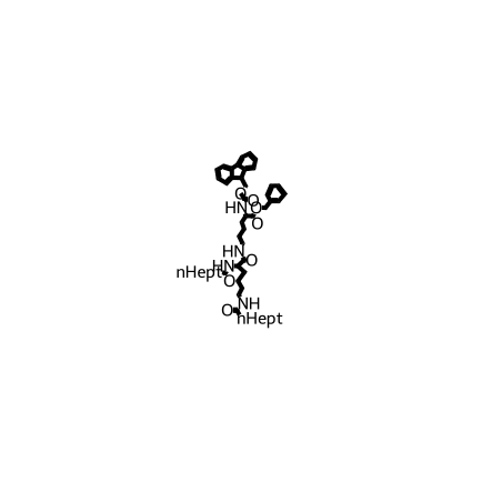 CCCCCCCC(=O)NCCCCC(NC(=O)CCCCCCC)C(=O)NCCCCC(NC(=O)OCC1c2ccccc2-c2ccccc21)C(=O)OCc1ccccc1